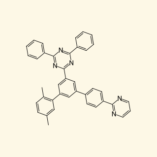 Cc1ccc(C)c(-c2cc(-c3ccc(-c4ncccn4)cc3)cc(-c3nc(-c4ccccc4)nc(-c4ccccc4)n3)c2)c1